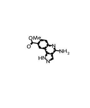 COC(=O)c1ccc2nc(N)c3cn[nH]c3c2c1